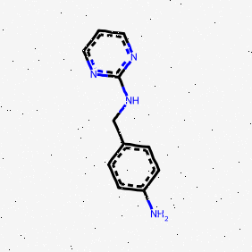 Nc1ccc(CNc2ncccn2)cc1